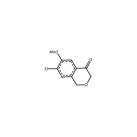 COc1cc2c(nc1Cl)COCC2=O